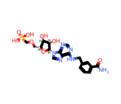 NC(=O)c1cccc(CNc2ncnc3c2ncn3[C@@H]2O[C@H](COCP(=O)(O)O)[C@@H](O)[C@H]2O)c1